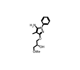 COC[C@H](O)COc1nn(-c2ccccc2)c(N)c1C